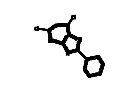 Clc1cc(Cl)n2nc(-c3ccccc3)nc2n1